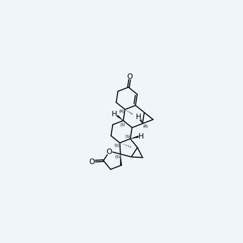 C[C@]12CCC(=O)C=C1C1C[C@@H]1C1[C@@H]3C4CC4[C@@]4(CCC(=O)O4)[C@@]3(C)CC[C@@H]12